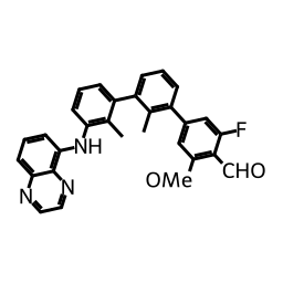 COc1cc(-c2cccc(-c3cccc(Nc4cccc5nccnc45)c3C)c2C)cc(F)c1C=O